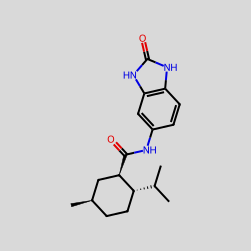 CC(C)[C@@H]1CC[C@@H](C)C[C@H]1C(=O)Nc1ccc2[nH]c(=O)[nH]c2c1